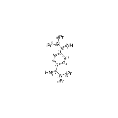 CC(C)N(C(=N)c1ccc(C(=N)N(C(C)C)C(C)C)cc1)C(C)C